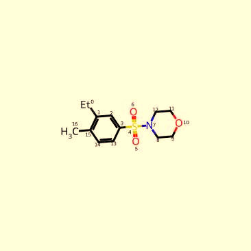 CCc1cc(S(=O)(=O)N2CCOCC2)ccc1C